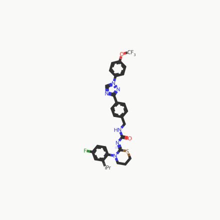 CC(C)c1cc(F)ccc1N1CCCS/C1=N\C(=O)NCc1ccc(-c2ncn(-c3ccc(OC(F)(F)F)cc3)n2)cc1